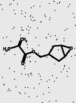 C=C(C)C(=O)OCC1CC2OC2C1